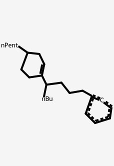 CCCCCC1CC=C(C(CCCC)CCCc2ccccc2)CC1